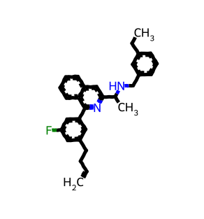 C=CCCc1cc(F)cc(-c2nc(C(C)NCc3cccc(CC)c3)cc3ccccc23)c1